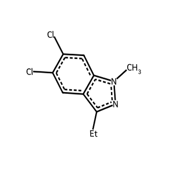 CCc1nn(C)c2cc(Cl)c(Cl)cc12